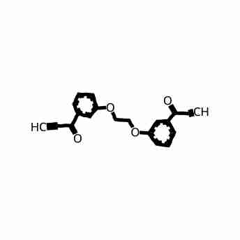 C#CC(=O)c1cccc(OCCOc2cccc(C(=O)C#C)c2)c1